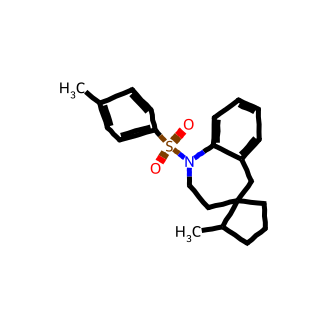 Cc1ccc(S(=O)(=O)N2CCC3(CCCC3C)Cc3ccccc32)cc1